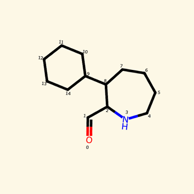 O=CC1NCCCCC1C1CCCCC1